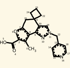 Cc1c(C(=O)O)oc2c1-c1nn(Cc3ccncc3)cc1C1(CCC1)C2